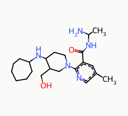 Cc1cnc(N2CCC(NC3CCCCCC3)C(CO)C2)c(C(=O)NC(C)N)c1